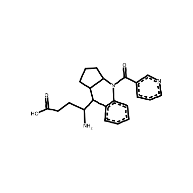 NC(CCC(=O)O)C1c2ccccc2N(C(=O)c2cccnc2)C2CCCC12